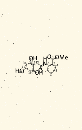 COC(=O)c1ccccc1NC(=O)Cc1c(O)cc(O)cc1O